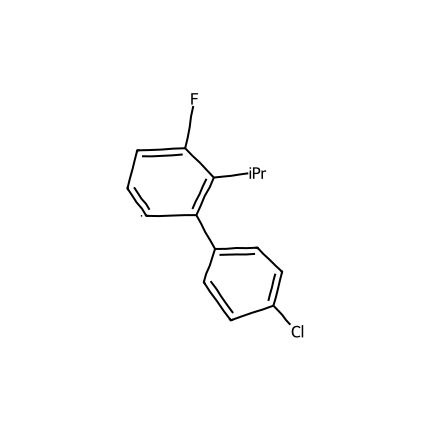 CC(C)c1c(-c2ccc(Cl)cc2)[c]ccc1F